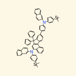 C[Si](C)(C)c1ccc(N(c2ccc(-c3ccc4c(c3)C(c3ccccc3)(c3ccccc3)c3cc(N(c5ccc([Si](C)(C)C)cc5)c5ccc6ccccc6c5)c5ccccc5c3-4)cc2)c2ccc3ccccc3c2)cc1